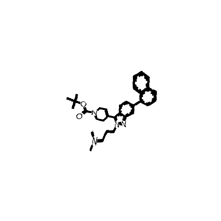 CN(C)CCCn1nc2cc(-c3cccc4ccccc34)ccc2c1C1=CCN(C(=O)OC(C)(C)C)CC1